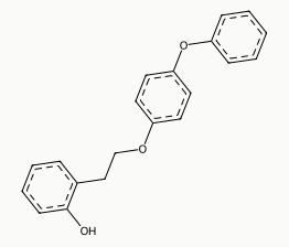 Oc1ccccc1CCOc1ccc(Oc2ccccc2)cc1